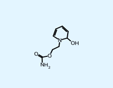 NC(=O)OCCN1C=CC=CC1O